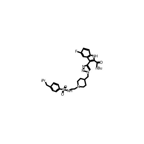 CCCCC(=O)c1[nH]c2ccc(F)cc2c1-c1cn(CC2CCN(CCNS(=O)(=O)c3ccc(CC(C)C)cc3)CC2)nn1